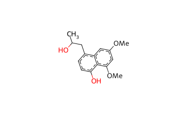 COc1cc(OC)c2c(O)ccc(CC(C)O)c2c1